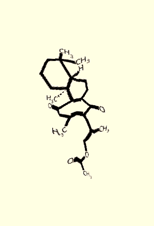 CC(=O)OCC(C)C1=C(C)C(=O)C2=C(CC[C@H]3C(C)(C)CCC[C@]23C)C1=O